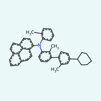 Cc1cc(C2CCCCC2)ccc1-c1cccc(N(c2ccccc2C)c2ccc3ccc4cccc5ccc2c3c45)c1C